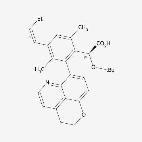 CC/C=C\c1cc(C)c([C@H](OC(C)(C)C)C(=O)O)c(-c2ccc3c4c(ccnc24)CCO3)c1C